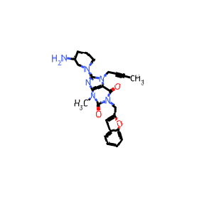 CC#CCn1c(N2CCCC(N)C2)nc2c1c(=O)n(Cc1cc3ccccc3o1)c(=O)n2C